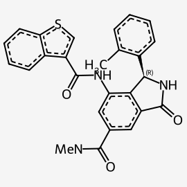 CNC(=O)c1cc(NC(=O)c2csc3ccccc23)c2c(c1)C(=O)N[C@@H]2c1ccccc1C